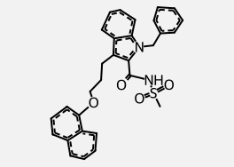 CS(=O)(=O)NC(=O)c1c(CCCOc2cccc3ccccc23)c2ccccc2n1Cc1ccccc1